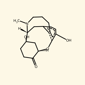 CN1CCCc2c3ccc(O)c2O[C@@H]2C[C@@](O)(CCC2=O)[C@H]1C3